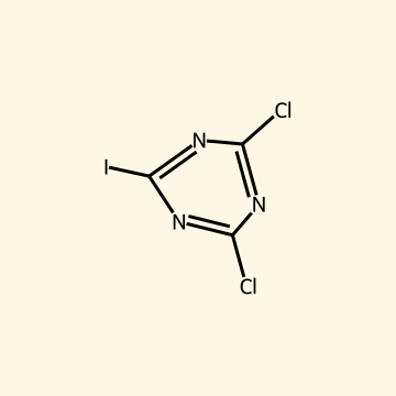 Clc1nc(Cl)nc(I)n1